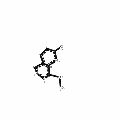 CCCCOc1nncc2ccc(Cl)nc12